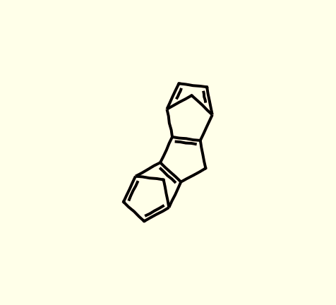 C1=C2CC(=C1)C1=C2CC2=C1C1=CC=C2C1